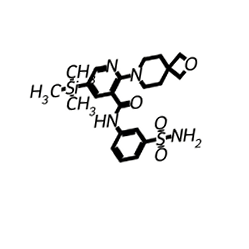 C[Si](C)(C)c1cnc(N2CCC3(CC2)COC3)c(C(=O)Nc2cccc(S(N)(=O)=O)c2)c1